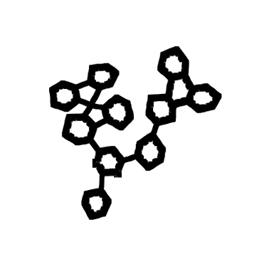 c1ccc(-c2nc(-c3cccc(-c4ccc5c6ccccc6c6ccccc6c5c4)c3)cc(-c3cccc4c3-c3ccccc3C43c4ccccc4-c4ccccc43)n2)cc1